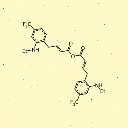 CCNc1cc(C(F)(F)F)ccc1CC=CC(=O)OC(=O)C=CCc1ccc(C(F)(F)F)cc1NCC